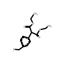 CCOC(=O)C(C(=O)OCC)c1ccc(CCl)cc1